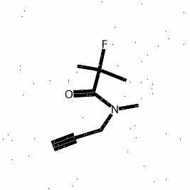 C#CCN(C)C(=O)C(C)(C)F